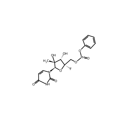 C[C@]1(O)[C@H](n2ccc(=O)[nH]c2=O)O[C@](F)(CO[PH](=O)Oc2ccccc2)[C@H]1O